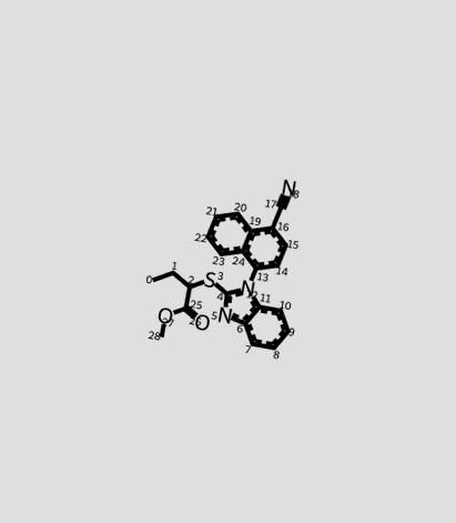 CCC(Sc1nc2ccccc2n1-c1ccc(C#N)c2ccccc12)C(=O)OC